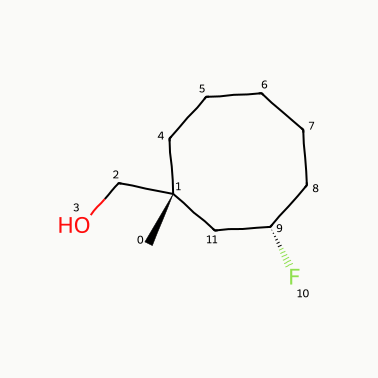 C[C@@]1(CO)CCCCC[C@H](F)C1